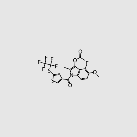 COc1ccc2c(c1F)c(OC(C)=O)c(C)n2C(=O)c1csc(SC(F)(F)C(F)(F)F)c1